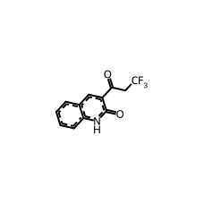 O=C(CC(F)(F)F)c1cc2ccccc2[nH]c1=O